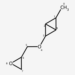 CC1C2C(OCC3CO3)C12